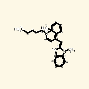 CN1/C(=C/C2=C3C=CC=CC3(C)N(CCCCC(=O)O)C=C2)Sc2ccccc21